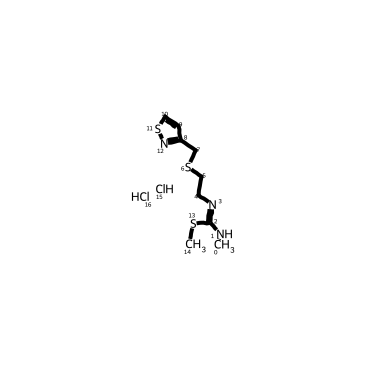 CN/C(=N/CCSCc1ccsn1)SC.Cl.Cl